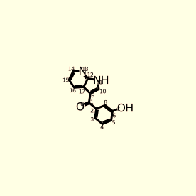 O=C(c1cccc(O)c1)c1c[nH]c2ncccc12